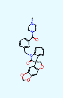 CN1CCN(C(=O)c2cccc(CN3C(=O)C4(COc5cc6c(cc54)OCO6)c4ccccc43)c2)CC1